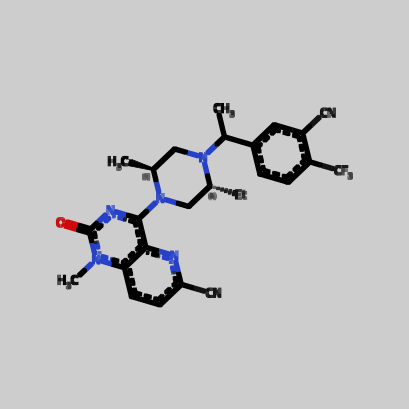 CC[C@@H]1CN(c2nc(=O)n(C)c3ccc(C#N)nc23)[C@@H](C)CN1C(C)c1ccc(C(F)(F)F)c(C#N)c1